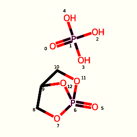 O=P(O)(O)O.O=P12OCC(CO1)O2